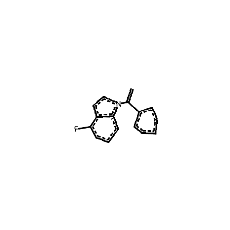 C=C(c1ccccc1)n1ccc2c(F)cccc21